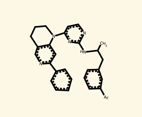 CC(=O)c1cccc(CC(C)Nc2nccc(N3CCCc4cnc(-c5ccccc5)cc43)n2)c1